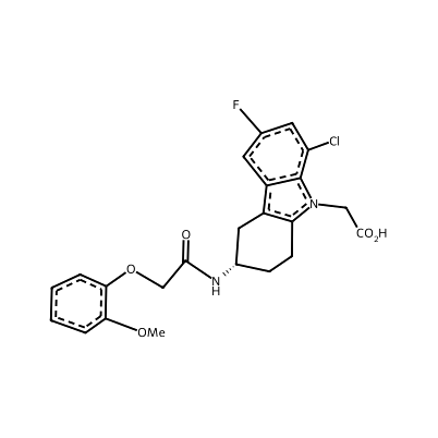 COc1ccccc1OCC(=O)N[C@H]1CCc2c(c3cc(F)cc(Cl)c3n2CC(=O)O)C1